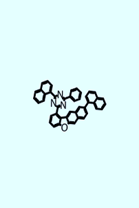 c1ccc(-c2nc(-c3cccc4ccccc34)nc(-c3cccc4oc5cc6ccc(-c7cccc8ccccc78)cc6cc5c34)n2)cc1